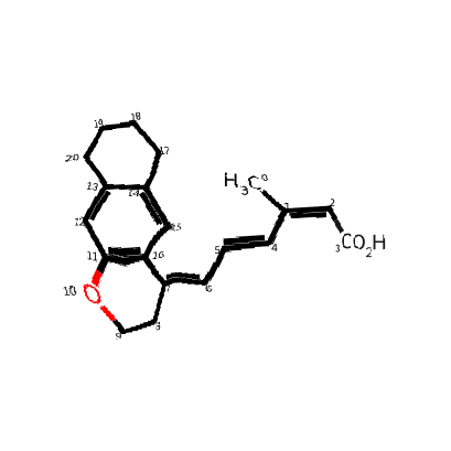 CC(=C/C(=O)O)/C=C/C=C1/CCOc2cc3c(cc21)CCCC3